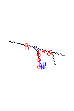 CCCCCCCCCCCOC(=O)CCCCCN(CCCCCCCC(=O)OC(CCCCCCCC)CCCCCCCC)CC(O)COCCOCCNC(=O)NC